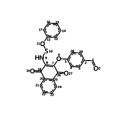 O=Cc1ccc(OC2=C(NSOc3ccccc3)C(=O)c3ccccc3C2=O)cc1